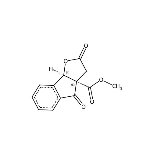 COC(=O)[C@@]12CC(=O)O[C@@H]1c1ccccc1C2=O